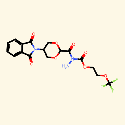 NN(C(=O)OCCOC(F)(F)F)C(=O)C1OCC(N2C(=O)c3ccccc3C2=O)CO1